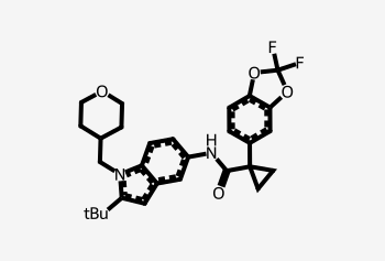 CC(C)(C)c1cc2cc(NC(=O)C3(c4ccc5c(c4)OC(F)(F)O5)CC3)ccc2n1CC1CCOCC1